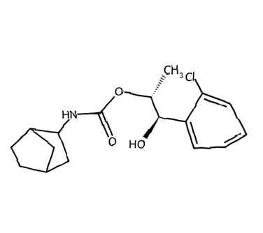 C[C@@H](OC(=O)NC1CC2CCC1C2)[C@H](O)c1ccccc1Cl